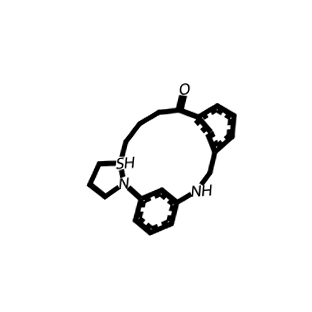 O=C1CCC[SH]2CCCN2c2cccc(c2)NCc2cccc1c2